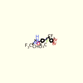 C[C@H](NCC(C=O)C(F)(F)F)NC(=O)c1ccc(/C(F)=C/C(c2ccc(Br)c(Br)c2)C(F)(F)F)cc1C(F)(F)F